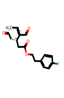 C/C=C(/C=O)[C@@H](CC=O)CC(=O)OCCc1ccc(F)cc1